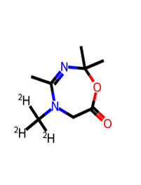 [2H]C([2H])([2H])N1CC(=O)OC(C)(C)N=C1C